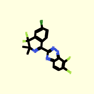 CC1(C)N=C(c2nnc3c(F)c(F)ccc3n2)c2ccc(Cl)cc2C1(F)F